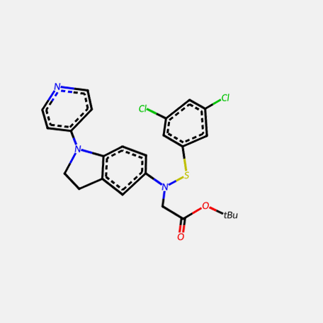 CC(C)(C)OC(=O)CN(Sc1cc(Cl)cc(Cl)c1)c1ccc2c(c1)CCN2c1ccncc1